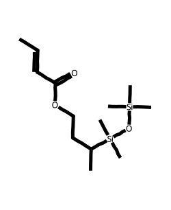 CC=CC(=O)OCCC(C)[Si](C)(C)O[Si](C)(C)C